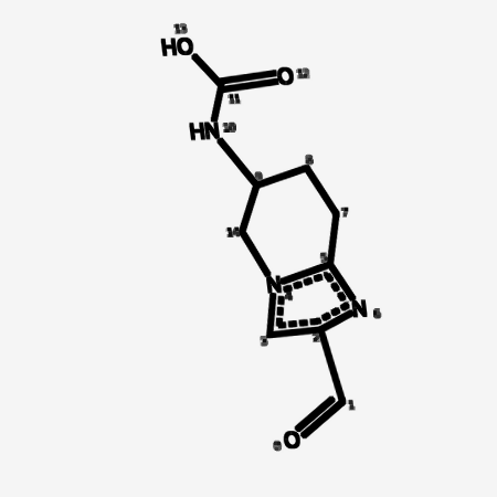 O=Cc1cn2c(n1)CCC(NC(=O)O)C2